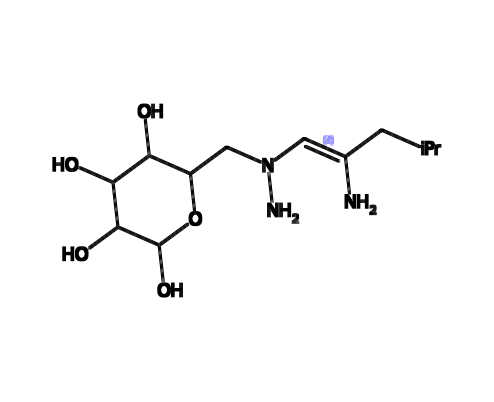 CC(C)C/C(N)=C/N(N)CC1OC(O)C(O)C(O)C1O